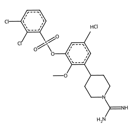 COc1c(OS(=O)(=O)c2cccc(Cl)c2Cl)cc(C)cc1C1CCN(C(=N)N)CC1.Cl